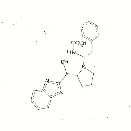 O=C(O)N[C@H](Cc1ccccc1)N1CCC[C@@H]1C(O)c1nc2ccccc2s1